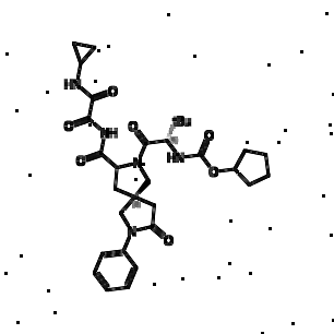 CC(C)(C)[C@H](NC(=O)OC1CCCC1)C(=O)N1C[C@]2(CC(=O)N(c3ccccc3)C2)CC1C(=O)NC(=O)C(=O)NC1CC1